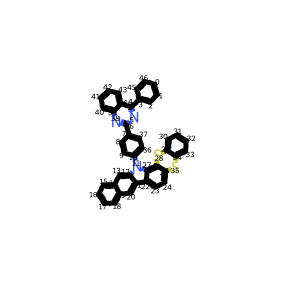 c1ccc(-c2nc(-c3ccc(-n4c5cc6ccccc6cc5c5ccc6c(c54)Sc4ccccc4S6)cc3)nc3ccccc23)cc1